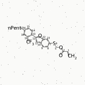 C=CC(=O)OCSc1ccc2cc(-c3ccc(CCCCC)cc3C(F)(F)F)oc2c1